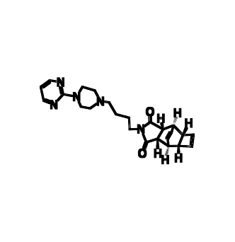 O=C1[C@@H]2[C@@H]3C=C[C@@H]([C@H]4C=C[C@H]43)[C@@H]2C(=O)N1CCCCN1CCN(c2ncccn2)CC1